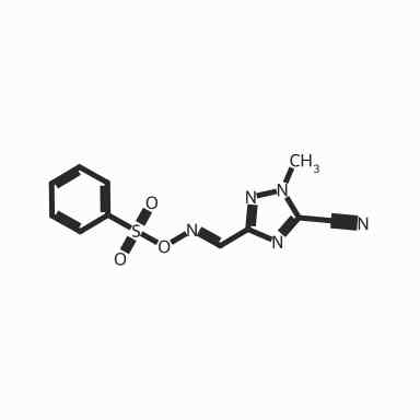 Cn1nc(C=NOS(=O)(=O)c2ccccc2)nc1C#N